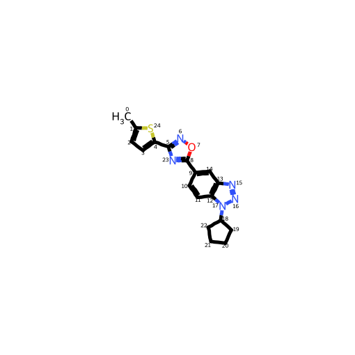 Cc1ccc(-c2noc(-c3ccc4c(c3)nnn4C3CCCC3)n2)s1